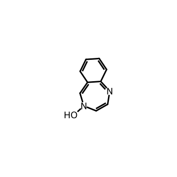 ON1C=CN=c2ccccc2=C1